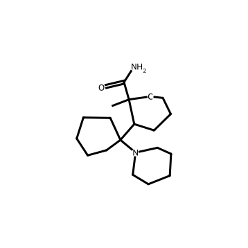 CC1(C(N)=O)CCCCC1C1(N2CCCCC2)CCCCC1